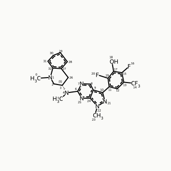 CN1C[C@@H](N(C)c2ncc3c(-c4cc(C(F)(F)F)c(F)c(O)c4F)nn(C)c3n2)Cc2ccccc21